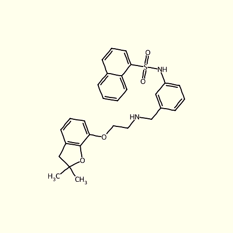 CC1(C)Cc2cccc(OCCNCc3cccc(NS(=O)(=O)c4cccc5ccccc45)c3)c2O1